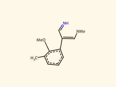 CN/C=C(\C=N)c1cccc(C)c1OC